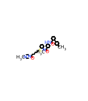 Cc1ccc(-c2ccccc2C(=O)Nc2ccc(C(=O)N(C)c3ccccc3SCCCCCC(=O)N3CCN(C)CC3)cc2)cc1